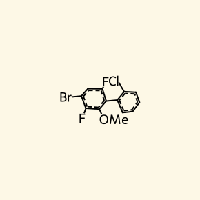 COc1c(F)c(Br)cc(F)c1-c1ccccc1Cl